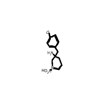 NC1(Cc2ccc(Cl)cc2)CCCN(C(=O)O)C1